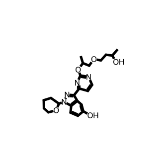 CC(O)CCOCC(C)Oc1nccc(-c2nn(C3CCCCO3)c3ccc(O)cc23)n1